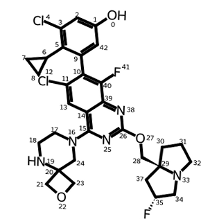 Oc1cc(Cl)c(C2CC2)c(-c2c(Cl)cc3c(N4CCNC5(COC5)C4)nc(OC[C@@]45CCCN4C[C@H](F)C5)nc3c2F)c1